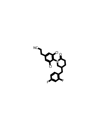 N#CCCc1cc(Cl)c(N2CC(Cc3ccc(F)cc3F)CCC2=O)c(Cl)c1